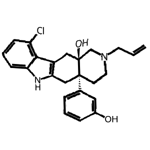 C=CCN1CC[C@@]2(c3cccc(O)c3)Cc3[nH]c4cccc(Cl)c4c3C[C@]2(O)C1